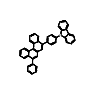 c1ccc(-c2cc3cc(-c4ccc(-n5c6ccccc6c6ccccc65)cc4)c4ccccc4c3c3ccccc23)cc1